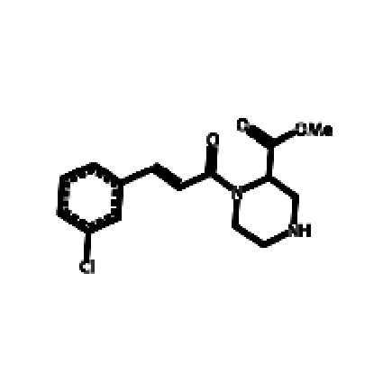 COC(=O)C1CNCCN1C(=O)C=Cc1cccc(Cl)c1